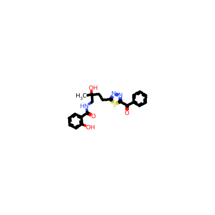 CC(O)(CCc1nnc(C(=O)c2ccccc2)s1)CNC(=O)c1ccccc1O